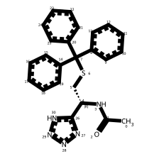 CC(=O)N[C@@H](CSC(c1ccccc1)(c1ccccc1)c1ccccc1)c1nnn[nH]1